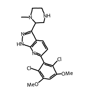 COc1cc(OC)c(Cl)c(-c2ccc3c(C4CNCCN4C)n[nH]c3n2)c1Cl